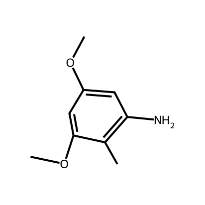 COc1cc(N)c(C)c(OC)c1